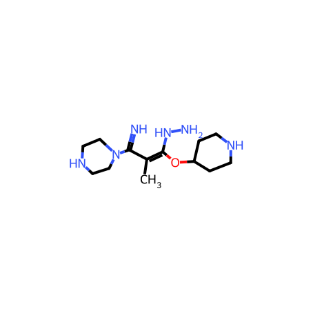 C/C(C(=N)N1CCNCC1)=C(/NN)OC1CCNCC1